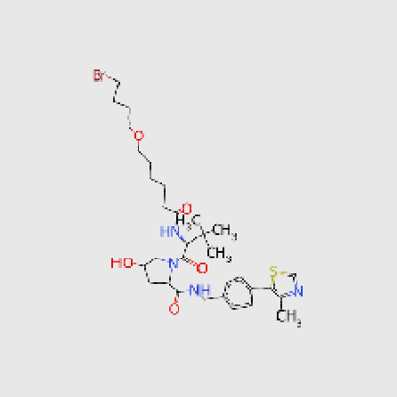 Cc1ncsc1-c1ccc(CNC(=O)C2CC(O)CN2C(=O)[C@@H](NC(=O)CCCCCOCCCCBr)C(C)(C)C)cc1